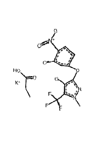 CCC(=O)O.Cn1nc(Oc2ccc([N+](=O)[O-])c([O-])c2)c(Cl)c1C(F)(F)F.[K+]